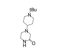 CC(C)(C)N1CCC(N2CCNC(=O)C2)CC1